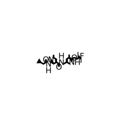 CC1=C(OCC(F)(I)I)NCC(CNC(=O)c2cc(C)nc(NC(=O)CC3CC3)c2)=C1